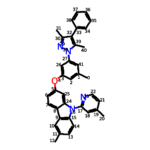 Cc1cc(Oc2ccc3c4cc(C)ccc4n(-c4cc(C)ccn4)c3c2)cc(-n2nc(C)c(-c3ccccc3)c2C)c1